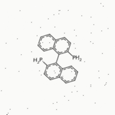 Pc1ccc2ccccc2c1-c1c(P)ccc2ccccc12